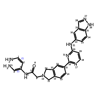 N/C=C\C(=C/N)NC(=O)CN1Cc2ccc(-c3nccc(Nc4ccc5[nH]ncc5c4)n3)cc2C1